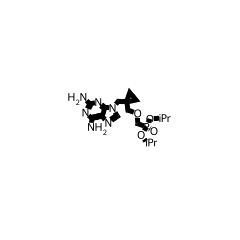 CC(C)OP(=O)(COCC1(Cn2cnc3c(N)nc(N)nc32)CC1)OC(C)C